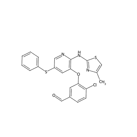 Cc1csc(Nc2ncc(Sc3ccccc3)cc2Oc2cc(C=O)ccc2Cl)n1